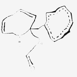 O=CNC1(c2ccccc2)C=CC=CN1